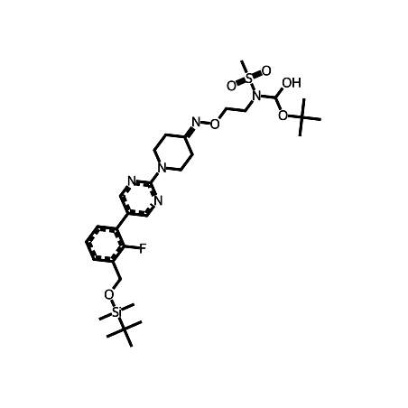 CC(C)(C)OC(O)N(CCON=C1CCN(c2ncc(-c3cccc(CO[Si](C)(C)C(C)(C)C)c3F)cn2)CC1)S(C)(=O)=O